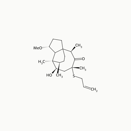 C=CCS[C@]1(C)C[C@@H](O)[C@@]2(C)C3[C@H](OC)CCC3(CC[C@H]2C)[C@@H](C)C1=O